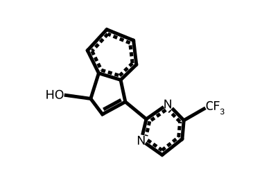 OC1C=C(c2nccc(C(F)(F)F)n2)c2ccccc21